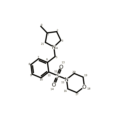 CC1CCN(Cc2ccccc2S(=O)(=O)N2CCOCC2)C1